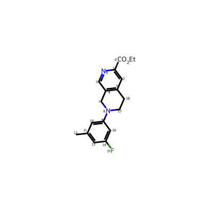 CCOC(=O)c1cc2c(cn1)CN(c1cc(C)cc(F)c1)CC2